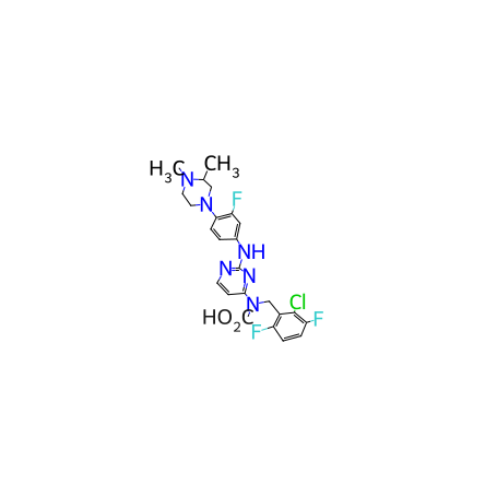 CC1CN(c2ccc(Nc3nccc(N(Cc4c(F)ccc(F)c4Cl)C(=O)O)n3)cc2F)CCN1C